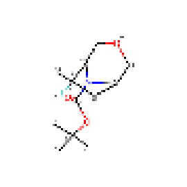 CC(C)(C)OC(=O)N1C2COCC1C(C)(F)C2